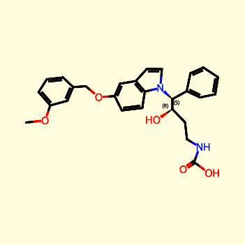 COc1cccc(COc2ccc3c(ccn3[C@@H](c3ccccc3)[C@H](O)CCNC(=O)O)c2)c1